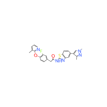 Cc1cccnc1Oc1ccc(CC(=O)Nc2nc3cc(-c4cn(C)nc4C)ccc3s2)cc1F